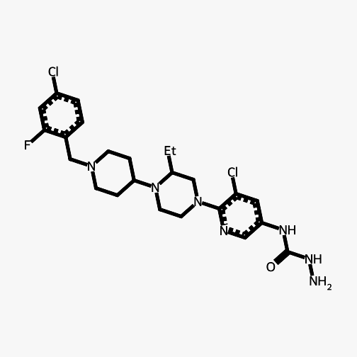 CCC1CN(c2ncc(NC(=O)NN)cc2Cl)CCN1C1CCN(Cc2ccc(Cl)cc2F)CC1